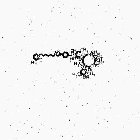 CC[C@H]1OC(=O)[C@H](C)[C@@H](O[C@H]2C[C@@](C)(OC)[C@@H](O)[C@H](C)O2)[C@H](C)[C@@H](O[C@@H]2O[C@H](C)C[C@H](N(C)Cc3ccc(C4CN(CCCCCCn5cccc(O)c5=O)N=N4)cc3)[C@@H]2O)[C@](C)(O)CCN(C)[C@H](C)[C@@H](O)[C@]1(C)O